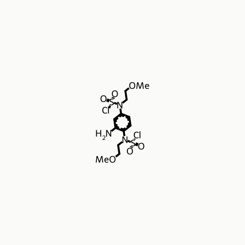 COCCN(c1ccc(N(CCOC)S(=O)(=O)Cl)c(N)c1)S(=O)(=O)Cl